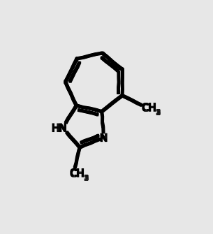 CC1=C=CC=Cc2[nH]c(C)nc21